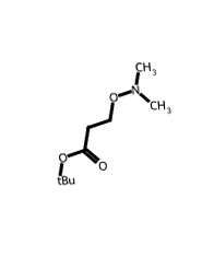 CN(C)OCCC(=O)OC(C)(C)C